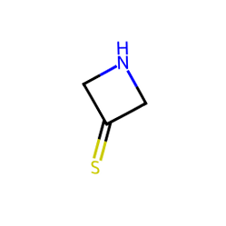 S=C1CNC1